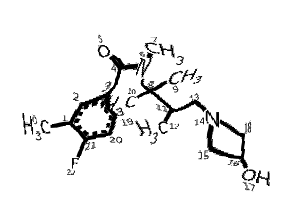 Cc1cc(C(=O)N(C)C(C)(C)C(C)CN2CC(O)C2)ccc1F